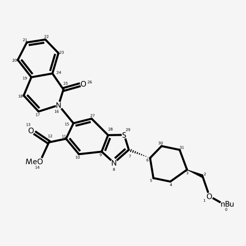 CCCCOC[C@H]1CC[C@H](c2nc3cc(C(=O)OC)c(-n4ccc5ccccc5c4=O)cc3s2)CC1